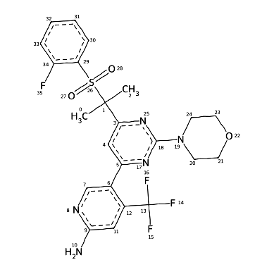 CC(C)(c1cc(-c2cnc(N)cc2C(F)(F)F)nc(N2CCOCC2)n1)S(=O)(=O)c1ccccc1F